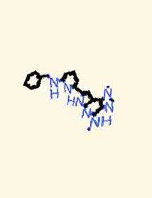 CNc1nc2[nH]c(-c3cccc(NCc4ccccc4)n3)cc2c2c1ncn2C